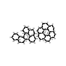 c1cc2ccc3ccc4ccc5ccc6ccc1c1c2c3c4c5c61.c1ccc2c(c1)ccc1c3cccc4ccc5cccc(c21)c5c43